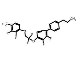 CCCc1ccc(-c2ccc(OC(F)(F)COc3ccc(C)c(F)c3F)c(F)c2F)cc1